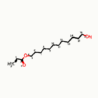 C=CC(=O)OCCCCCCCCCCCCO